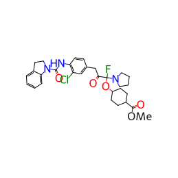 COC(=O)C1CCC(OC(F)(C(=O)Cc2ccc(NC(=O)N3CCc4ccccc43)c(Cl)c2)N2CCCC2)CC1